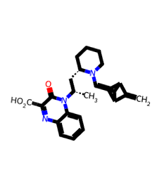 C=C1C2CC1C2=CN1CCCC[C@H]1C[C@H](C)n1c(=O)c(C(=O)O)nc2ccccc21